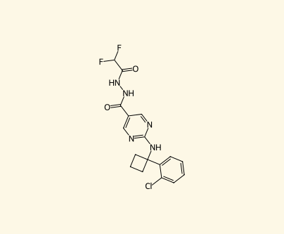 O=C(NNC(=O)C(F)F)c1cnc(NC2(c3ccccc3Cl)CCC2)nc1